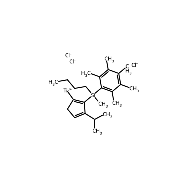 CCCC[Si](C)(C1=[C]([Ti+3])CC=C1C(C)C)c1c(C)c(C)c(C)c(C)c1C.[Cl-].[Cl-].[Cl-]